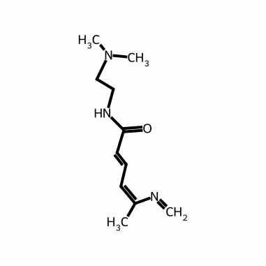 C=N/C(C)=C\C=C\C(=O)NCCN(C)C